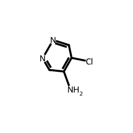 Nc1cnncc1Cl